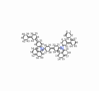 c1cccc(-c2ccc(N(C3=c4ccccc4=CCC3)c3ccc(-c4ccc(N(c5ccc(-c6cccc(-c7ccccc7)c6)cc5)c5cccc6ccccc56)cc4)cc3)cc2-c2ccccc2)c#1